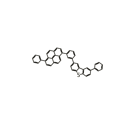 c1ccc(-c2ccc3sc4ccc(-c5cccc(-c6ccc7ccc8c(-c9ccccc9)ccc9ccc6c7c98)c5)cc4c3c2)cc1